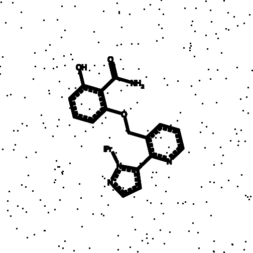 CC(C)n1nccc1-c1ncccc1COc1cccc(O)c1C(N)=O